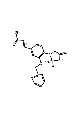 O=C(O)/C=C/c1ccc(N2CC(=O)NS2(=O)=O)c(OCc2ccccc2)c1